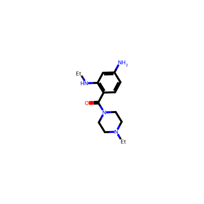 CCNc1cc(N)ccc1C(=O)N1CCN(CC)CC1